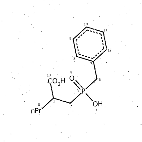 CCCC(CP(=O)(O)Cc1ccccc1)C(=O)O